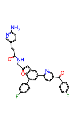 Nc1ccc(C=CC(=O)NCc2cc3cc(-c4ccc(C(=O)c5ccc(F)cc5)cn4)cc(-c4ccc(F)cc4)c3o2)cn1